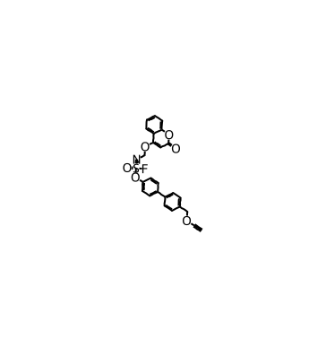 C#COCc1ccc(-c2ccc(OS(=O)(F)=NCOc3cc(=O)oc4ccccc34)cc2)cc1